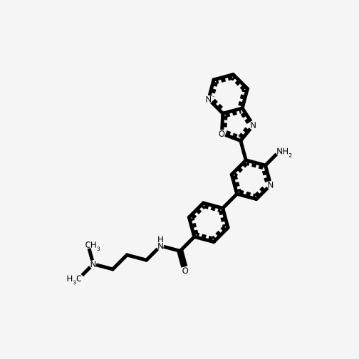 CN(C)CCCNC(=O)c1ccc(-c2cnc(N)c(-c3nc4cccnc4o3)c2)cc1